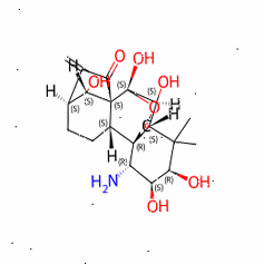 C=C1C(=O)[C@]23[C@@H](O)[C@H]1CC[C@H]2[C@@]12CO[C@]3(O)[C@@H](O)[C@@H]1C(C)(C)[C@@H](O)[C@@H](O)[C@@H]2N